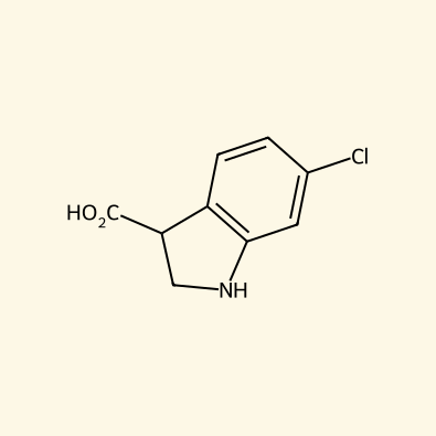 O=C(O)C1CNc2cc(Cl)ccc21